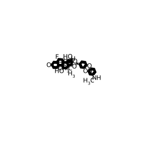 CNc1ccc(Oc2ccc([C@@H]3O[C@@H]4C[C@H]5[C@@H]6C[C@H](F)C7=CC(=O)C=C[C@]7(C)[C@@]6(F)[C@@H](O)C[C@]5(C)[C@]4(C(=O)CO)O3)cc2O)cc1